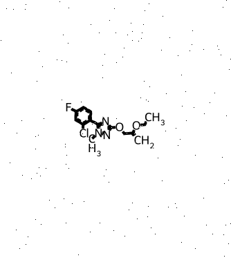 C=C(COc1nc(-c2ccc(F)cc2Cl)n(C)n1)OCC